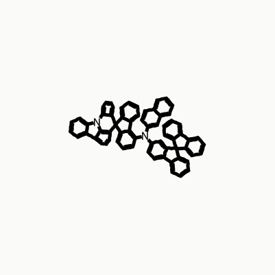 c1ccc2c(c1)-c1ccccc1C21c2ccccc2-c2ccc(N(c3ccc4ccccc4c3)c3cccc4c3-c3ccccc3C43c4ccccc4-n4c5ccccc5c5cccc3c54)cc21